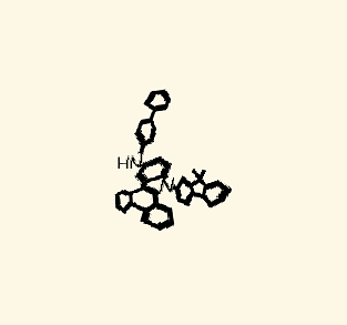 CC1(C)c2ccccc2-c2ccc(-n3c4ccc(Nc5ccc(-c6ccccc6)cc5)cc4c4c5ccccc5c5ccccc5c43)cc21